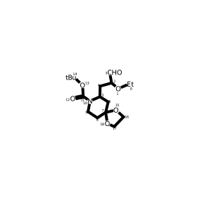 CCOC(C=O)CC1CC2(CCN1C(=O)OC(C)(C)C)OCCO2